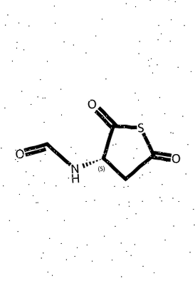 O=CN[C@H]1CC(=O)SC1=O